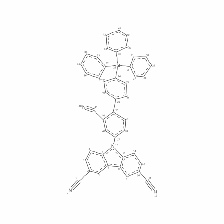 N#Cc1ccc2c(c1)c1cc(C#N)ccc1n2-c1ccc(-c2ccc([Si](c3ccccc3)(c3ccccc3)c3ccccc3)cc2)c(C#N)c1